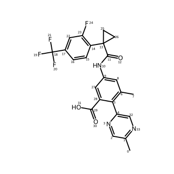 Cc1cnc(-c2c(C)cc(NC(=O)C3(c4ccc(C(F)(F)F)cc4F)CC3)cc2C(=O)O)cn1